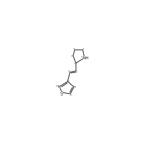 C(=CC1CCCN1)c1ccon1